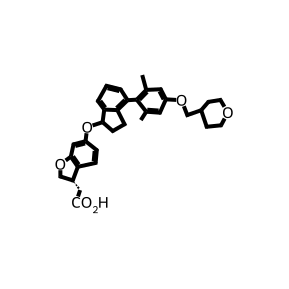 Cc1cc(OCC2CCOCC2)cc(C)c1-c1cccc2c1CCC2Oc1ccc2c(c1)OC[C@H]2CC(=O)O